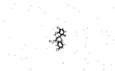 C[C@@H](O)[C@@H]1COc2c(F)ccc(F)c2[C@H]1Sc1ccc(Cl)cc1